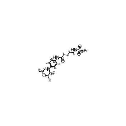 CC(C)S(=O)(=O)NCCCCC(=O)Nc1ccc(N2C[C@H](C)O[C@H](C)C2F)cc1